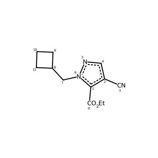 CCOC(=O)c1c(C#N)cnn1CC1CCC1